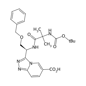 CC(C)(C)OC(=O)NC(C)(C)C(=O)N[C@H](COCc1ccccc1)c1nnc2ccc(C(=O)O)cn12